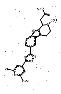 COC(=O)CC1c2[nH]c3ccc(-c4noc(-c5cc(Cl)nc(OC)c5)n4)cc3c2CCN1C(=O)O